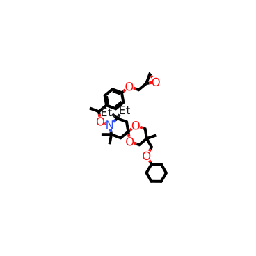 CCC1(CC)CC2(CC(C)(C)N1OC(C)c1ccc(OCC3CO3)cc1)OCC(C)(COC1CCCCC1)CO2